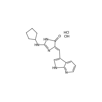 Cl.Cl.O=C1NC(NC2CCCC2)=N/C1=C\c1c[nH]c2ncccc12